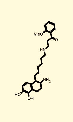 COc1ccccc1C(=O)CCNCCCCCCC1c2ccc(O)c(O)c2CCC1N